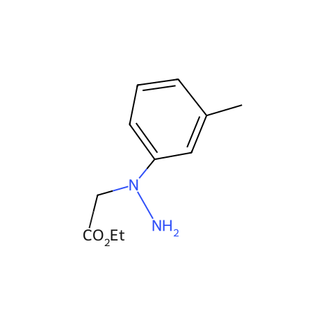 CCOC(=O)CN(N)c1cccc(C)c1